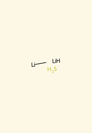 S.[LiH].[Li][CH3]